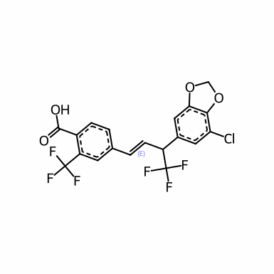 O=C(O)c1ccc(/C=C/C(c2cc(Cl)c3c(c2)OCO3)C(F)(F)F)cc1C(F)(F)F